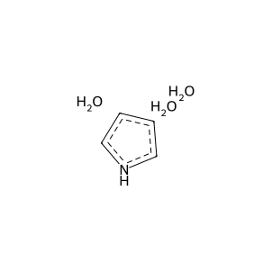 O.O.O.c1cc[nH]c1